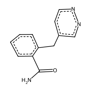 NC(=O)c1ccccc1Cc1ccnnc1